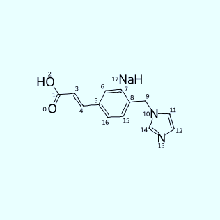 O=C(O)/C=C/c1c[c]c(Cn2ccnc2)cc1.[NaH]